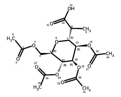 CC(=O)OC[C@H]1O[C@H](C(C)C(=O)O)[C@@H](OC(C)=O)[C@@H](OC(C)=O)[C@@H]1OC(C)=O